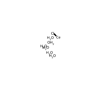 O.O.O.O.O.O.[Cl][Ce]